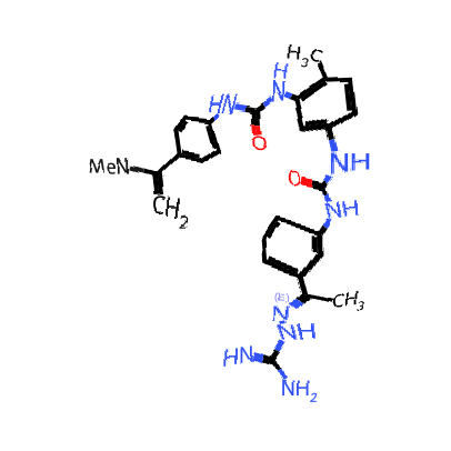 C=C(NC)c1ccc(NC(=O)Nc2cc(NC(=O)Nc3cccc(/C(C)=N/NC(=N)N)c3)ccc2C)cc1